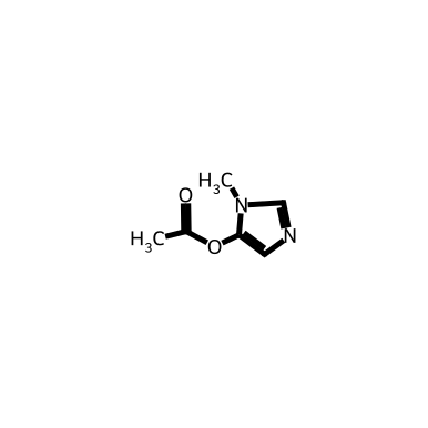 CC(=O)Oc1cncn1C